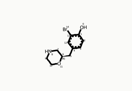 Oc1ccc(C[C@@H]2CNCCO2)cc1Br